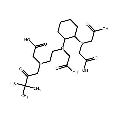 CC(C)(C)C(=O)CN(CCN(CC(=O)O)C1CCCCC1N(CC(=O)O)CC(=O)O)CC(=O)O